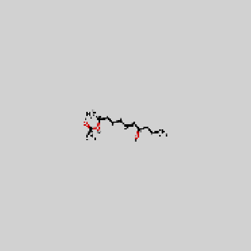 CCCC(=O)C=CCCCC(C)OC(C)=O